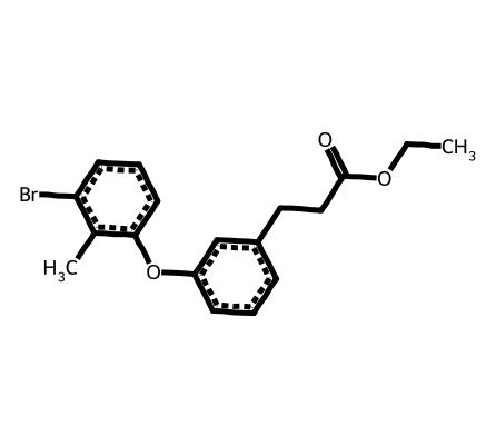 CCOC(=O)CCc1cccc(Oc2cccc(Br)c2C)c1